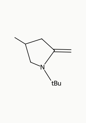 C=C1CC(C)CN1C(C)(C)C